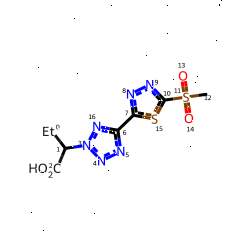 CCC(C(=O)O)n1nnc(-c2nnc(S(C)(=O)=O)s2)n1